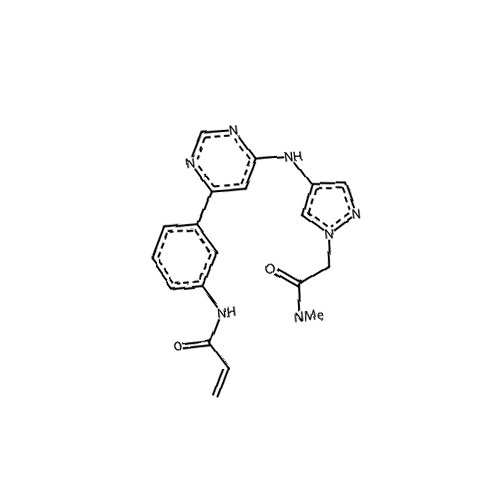 C=CC(=O)Nc1cccc(-c2cc(Nc3cnn(CC(=O)NC)c3)ncn2)c1